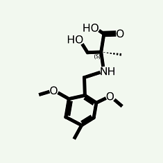 COc1cc(C)cc(OC)c1CN[C@@](C)(CO)C(=O)O